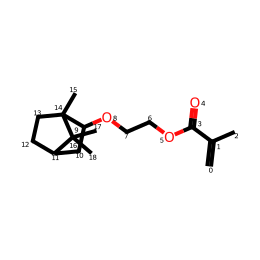 C=C(C)C(=O)OCCOC1CC2CCC1(C)C2(C)C